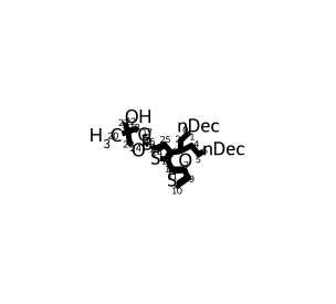 CCCCCCCCCCCCC1(CCCCCCCCCCCC)Oc2ccsc2-c2sc(B3OCC(C)(CO)CO3)cc21